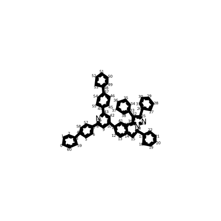 c1ccc(-c2ccc(-c3cc(-c4ccc5cc(-c6ccccc6)n6nc(-c7ccccc7)c(-c7ccccc7)c6c5c4)cc(-c4ccc(-c5ccccc5)cc4)n3)cc2)cc1